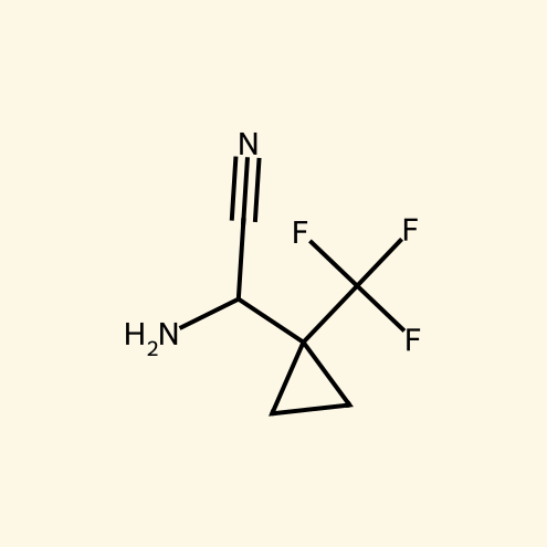 N#CC(N)C1(C(F)(F)F)CC1